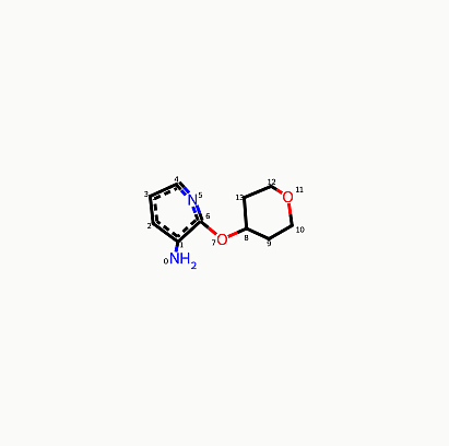 Nc1cccnc1OC1CCOCC1